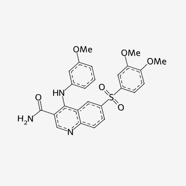 COc1cccc(Nc2c(C(N)=O)cnc3ccc(S(=O)(=O)c4ccc(OC)c(OC)c4)cc23)c1